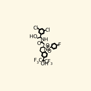 O=C(C[C@@H]1CCc2cc(C(O)(C(F)(F)F)C(F)(F)F)ccc2N1S(=O)(=O)c1ccc(F)cc1)NC(CO)c1cc(Cl)cc(Cl)c1